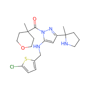 CC1(C(=O)n2nc(C3(C)CCCN3)cc2NCc2ccc(Cl)s2)CCOCC1